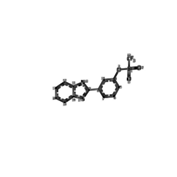 O=S(=O)(Oc1cccc(-c2nc3ccccc3s2)c1)C(F)(F)F